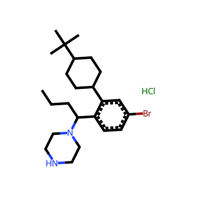 CCCC(c1ccc(Br)cc1C1CCC(C(C)(C)C)CC1)N1CCNCC1.Cl